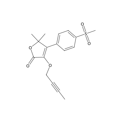 CC#CCOC1=C(c2ccc(S(C)(=O)=O)cc2)C(C)(C)OC1=O